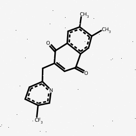 Cc1cc2c(cc1C)C(=O)C(Cc1ccc(C(F)(F)F)cn1)=CC2=O